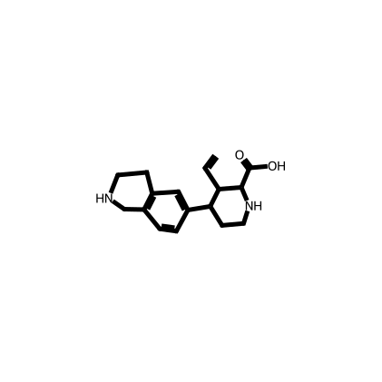 C=CC1C(C(=O)O)NCCC1c1ccc2c(c1)CCNC2